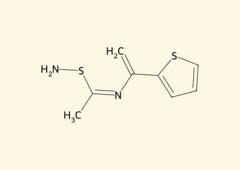 C=C(/N=C(/C)SN)c1cccs1